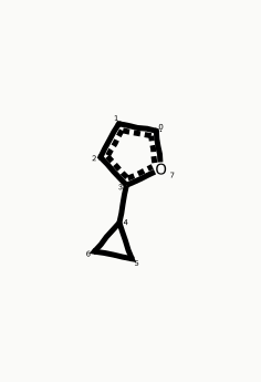 [c]1ccc(C2CC2)o1